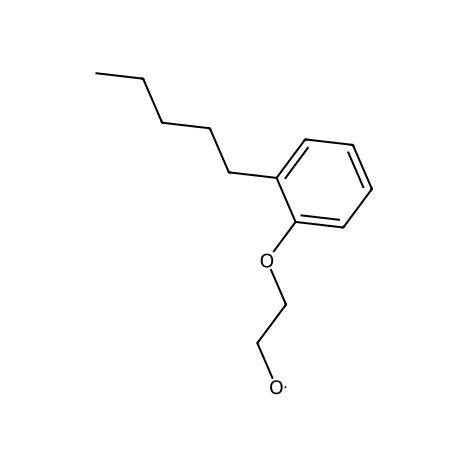 CCCCCc1ccccc1OCC[O]